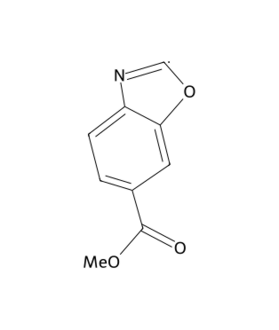 COC(=O)c1ccc2n[c]oc2c1